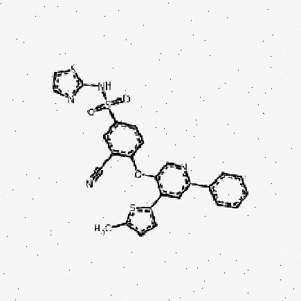 Cc1ccc(-c2cc(-c3ccccc3)ncc2Oc2ccc(S(=O)(=O)Nc3nccs3)cc2C#N)s1